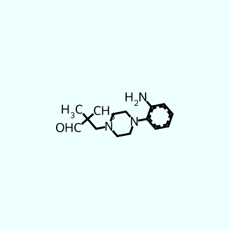 CC(C)(C=O)CN1CCN(c2ccccc2N)CC1